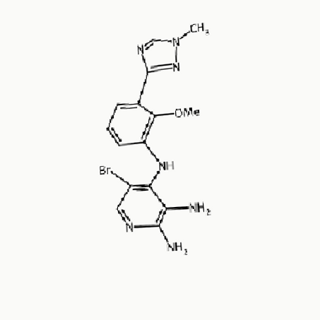 COc1c(Nc2c(Br)cnc(N)c2N)cccc1-c1ncn(C)n1